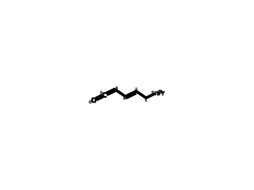 CCCCC=CC=C=O